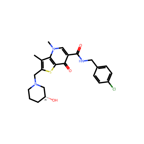 Cc1c(CN2CCC[C@@H](O)C2)sc2c(=O)c(C(=O)NCc3ccc(Cl)cc3)cn(C)c12